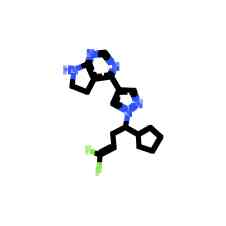 FC(F)=CCC(C1CCCC1)n1cc(-c2ncnc3c2CCN3)cn1